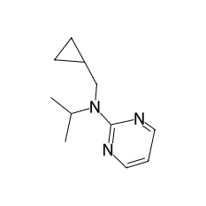 CC(C)N(CC1CC1)c1ncccn1